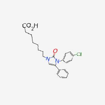 O=C(O)CCCCCCCn1cc(-c2ccccc2)n(-c2ccc(Cl)cc2)c1=O